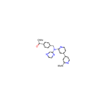 CNc1cc(-c2ccnc(N(Cc3ccc(C(=O)OC)cc3)c3cnccn3)c2)ccn1